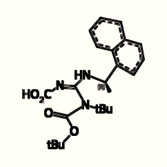 C[C@@H](NC(=NC(=O)O)N(C(=O)OC(C)(C)C)C(C)(C)C)c1cccc2ccccc12